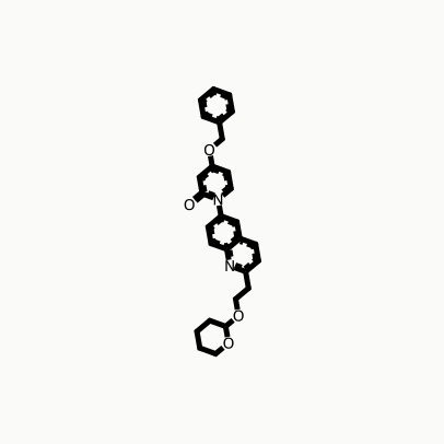 O=c1cc(OCc2ccccc2)ccn1-c1ccc2nc(CCOC3CCCCO3)ccc2c1